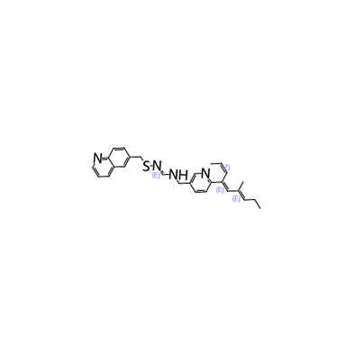 C\C=C/C(=C\C(C)=C\CC)c1ccc(CN/C=N/SCc2ccc3ncccc3c2)cn1